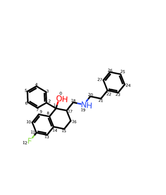 OC1(c2ccccc2)c2ccc(F)cc2CCC1CNCCc1ccccc1